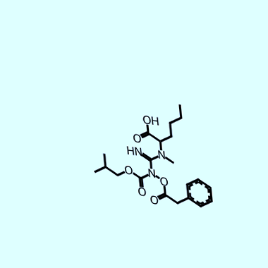 CCCCC(C(=O)O)N(C)C(=N)N(OC(=O)Cc1ccccc1)C(=O)OCC(C)C